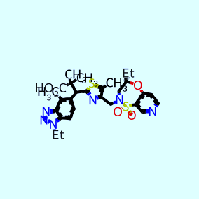 CC[C@@H]1CN(Cc2nc(C(c3ccc4c(nnn4CC)c3C)C(C)(C)C(=O)O)sc2C)S(=O)(=O)c2cnccc2O1